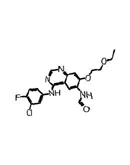 CCOCCOc1cc2ncnc(Nc3ccc(F)c(Cl)c3)c2cc1NC=O